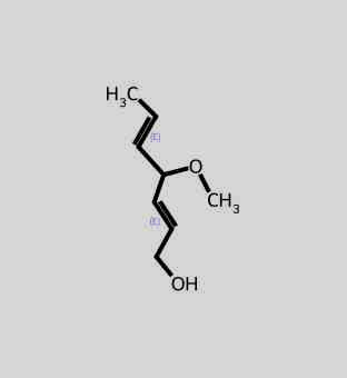 C/C=C/C(/C=C/CO)OC